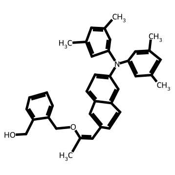 CC(=Cc1ccc2cc(N(c3cc(C)cc(C)c3)c3cc(C)cc(C)c3)ccc2c1)OCc1ccccc1CO